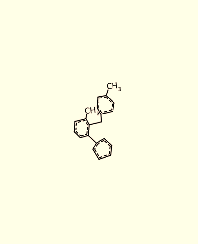 Cc1ccc(Cc2c(C)cccc2-c2ccccc2)cc1